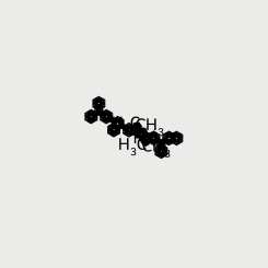 CC1(C)c2cc(-c3ccc(-c4ccc(N(c5ccccc5)c5ccccc5)cc4)c4ccccc34)ccc2-c2nc3c(cc21)-c1ccc(N(c2ccccc2)c2ccc4ccccc4c2)cc1C3(C)C